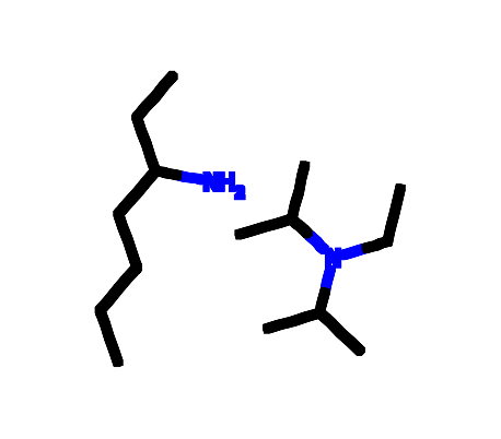 CCCCC(N)CC.CCN(C(C)C)C(C)C